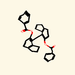 O=C(Oc1ccc2c(c1-c1c(OC(=O)c3ccccc3)ccc3c1CCC3)CCC2)c1ccccc1